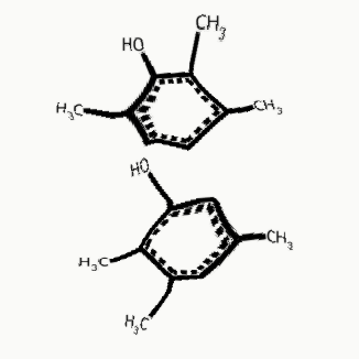 Cc1cc(C)c(C)c(O)c1.Cc1ccc(C)c(O)c1C